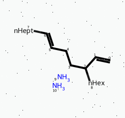 C=CC(CCC=CCCCCCCC)CCCCCC.N.N